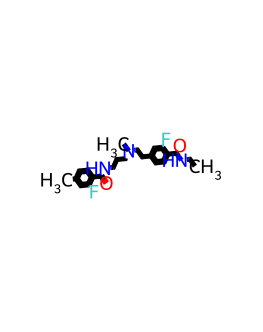 CCNC(=O)c1ccc(CCN(C)CCCNC(=O)c2ccc(C)cc2F)cc1F